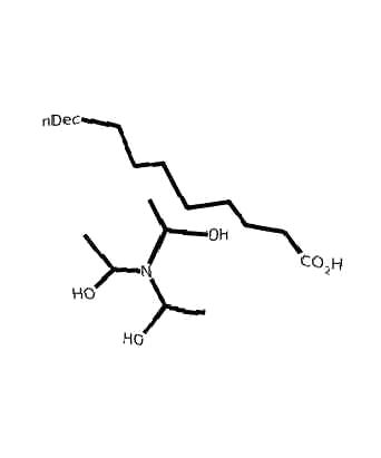 CC(O)N(C(C)O)C(C)O.CCCCCCCCCCCCCCCCCC(=O)O